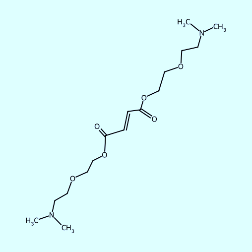 CN(C)CCOCCOC(=O)C=CC(=O)OCCOCCN(C)C